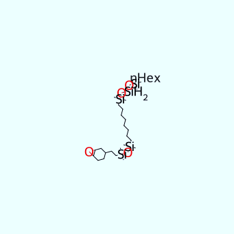 CCCCCC[Si](C)(C)O[SiH2]O[Si](C)(C)CCCCCCCC[Si](C)(C)O[Si](C)(C)CCC1CCC2OC2C1